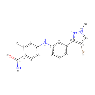 Cc1cc(Nc2cccc(-c3nn(C)cc3Br)c2)ccc1C([NH])=O